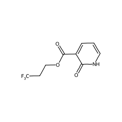 O=C(OCCC(F)(F)F)c1ccc[nH]c1=O